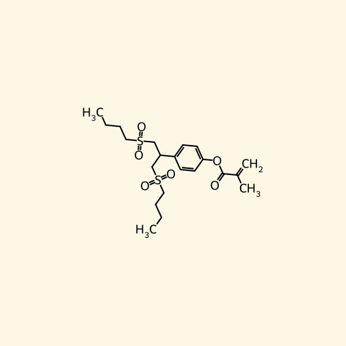 C=C(C)C(=O)Oc1ccc(C(CS(=O)(=O)CCCC)CS(=O)(=O)CCCC)cc1